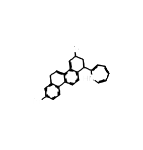 CC(=O)C1C=c2c(ccc3c2=CCc2cc(Br)ccc2-3)C(C2=CC=CC=CN2)C1